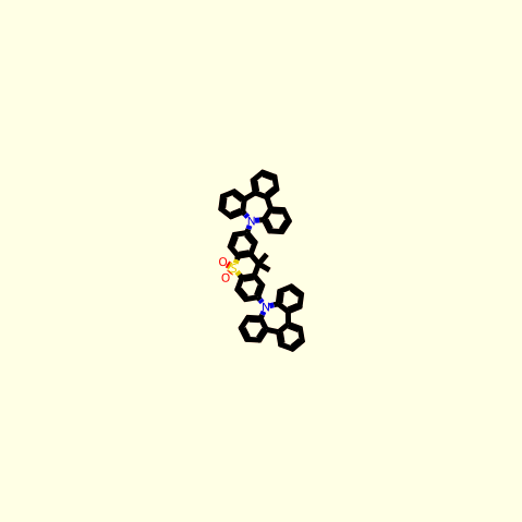 CC1(C)c2cc(N3c4ccccc4-c4ccccc4-c4ccccc43)ccc2S(=O)(=O)c2ccc(N3c4ccccc4-c4ccccc4-c4ccccc43)cc21